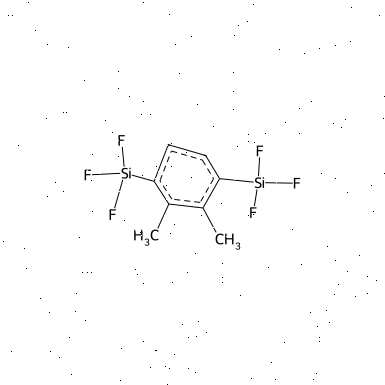 Cc1c([Si](F)(F)F)ccc([Si](F)(F)F)c1C